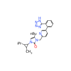 CCCCc1cn(C2C(C)C2C(C)C)c(=O)n1Cc1ccc(-c2ccccc2-c2nnn[nH]2)cn1